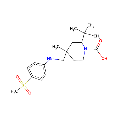 CC1(CNc2ccc(S(C)(=O)=O)cc2)CCN(C(=O)O)C(C(C)(C)C)C1